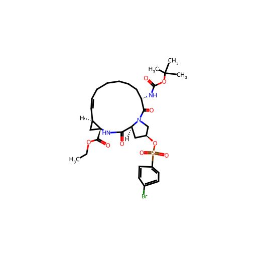 CCOC(=O)[C@@]12C[C@H]1C=CCCCCC[C@H](NC(=O)OC(C)(C)C)C(=O)N1C[C@@H](OS(=O)(=O)c3ccc(Br)cc3)C[C@H]1C(=O)N2